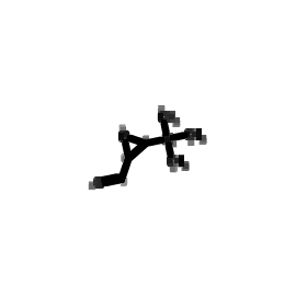 C[Si](C)(C)C1OC1C=O